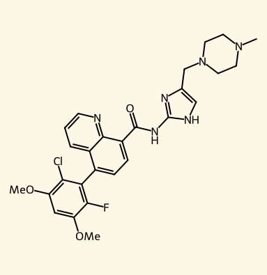 COc1cc(OC)c(Cl)c(-c2ccc(C(=O)Nc3nc(CN4CCN(C)CC4)c[nH]3)c3ncccc23)c1F